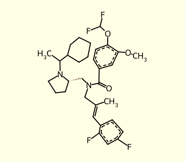 COc1cc(C(=O)N(C/C(C)=C/c2ccc(F)cc2F)C[C@@H]2CCCN2C(C)C2CCCCC2)ccc1OC(F)F